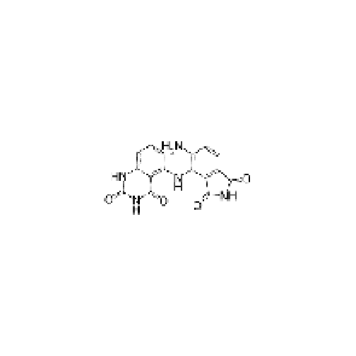 Nc1ccc2c(c1Nc1cccc3[nH]c(=O)[nH]c(=O)c13)C(=O)NC2=O